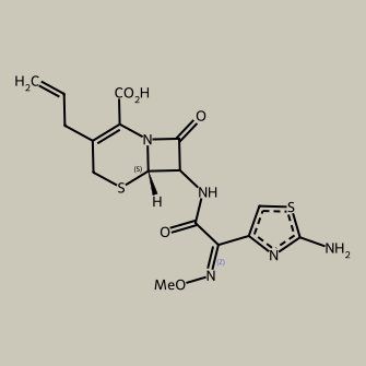 C=CCC1=C(C(=O)O)N2C(=O)C(NC(=O)/C(=N\OC)c3csc(N)n3)[C@@H]2SC1